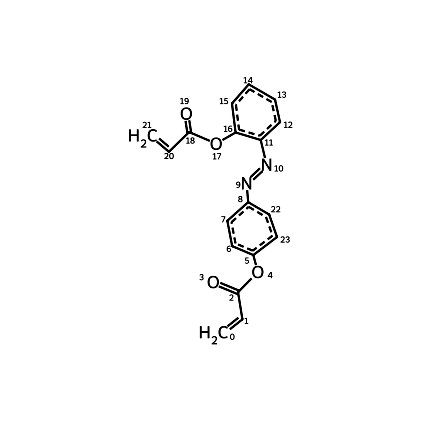 C=CC(=O)Oc1ccc(/N=N/c2ccccc2OC(=O)C=C)cc1